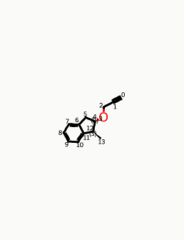 C#CCO[C@@H]1Cc2ccccc2[C@@H]1C